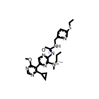 CCSc1ccc(CN/C(C=O)=N/c2ncc(-c3c(OC)ncnc3C3CC3)nc2N(C)[C@@H](C)CC)nc1